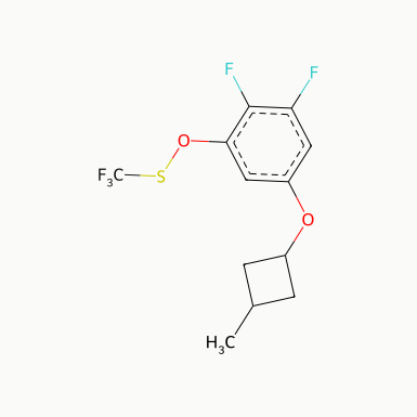 CC1CC(Oc2cc(F)c(F)c(OSC(F)(F)F)c2)C1